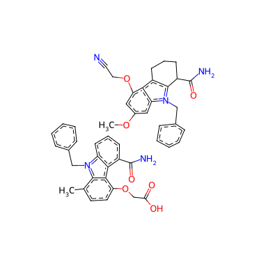 COc1cc(OCC#N)c2c3c(n(Cc4ccccc4)c2c1)C(C(N)=O)CCC3.Cc1ccc(OCC(=O)O)c2c3c(C(N)=O)cccc3n(Cc3ccccc3)c12